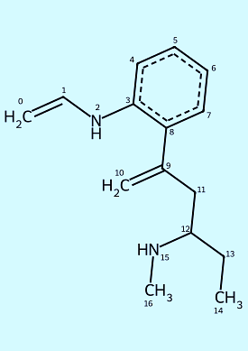 C=CNc1ccccc1C(=C)CC(CC)NC